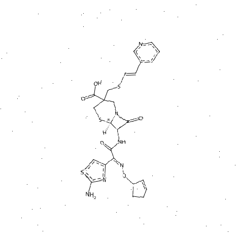 Nc1nc(C(=NOC2C=CCC2)C(=O)NC2C(=O)N3CC(CSC=Cc4cccnc4)(C(=O)O)CS[C@H]23)cs1